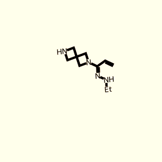 C=C/C(=N\NCC)N1CC2(CNC2)C1